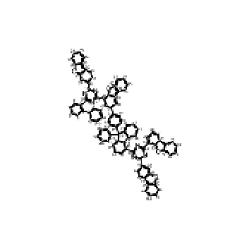 c1ccc(-c2ccccc2-c2nc(-c3ccc4c(c3)oc3ccccc34)nc(-c3cc(-c4ccc(C5(c6ccccc6)c6ccccc6-c6c(-c7nc(-c8ccc9c(c8)oc8ccccc89)nc(-c8cccc9c8oc8ccccc89)n7)cccc65)cc4)cc4c3oc3ccccc34)n2)cc1